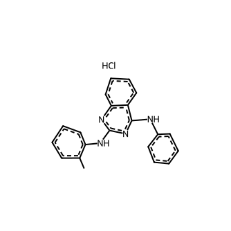 Cc1ccccc1Nc1nc(Nc2ccccc2)c2ccccc2n1.Cl